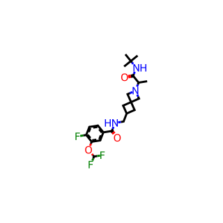 CC(C(=O)NC(C)(C)C)N1CC2(CC(CNC(=O)c3ccc(F)c(OC(F)F)c3)C2)C1